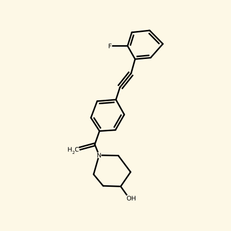 C=C(c1ccc(C#Cc2ccccc2F)cc1)N1CCC(O)CC1